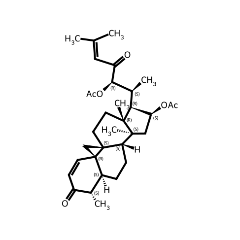 CC(=O)O[C@H]1C[C@@]2(C)[C@@H]3CC[C@H]4[C@H](C)C(=O)C=C[C@@]45C[C@@]35CC[C@]2(C)[C@H]1[C@H](C)[C@@H](OC(C)=O)C(=O)C=C(C)C